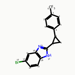 FC(F)(F)c1ccc(C2CC2c2nc3cc(Br)ccc3[nH]2)cc1